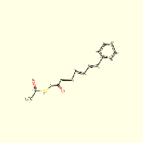 CC(=O)SCC(=O)C=CC=CC=Cc1ccccc1